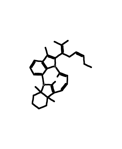 CC/C=C\CC(=C(C)C)C1=C(C)c2cccc3c2B1/C(C)=C/C=C\C1=C(C)N3C2(C)CCCCC12C